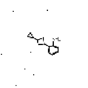 Nc1ccccc1C1CC(C2CC2)C1